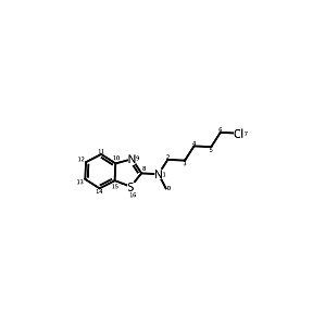 CN(CCCCCCl)c1nc2ccccc2s1